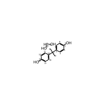 CC(C)(c1ccc(O)cc1)c1ccc(O)cc1.OPO